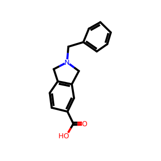 O=C(O)c1ccc2c(c1)CN(Cc1ccccc1)C2